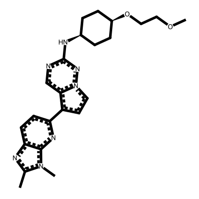 COCCO[C@H]1CC[C@@H](Nc2ncc3c(-c4ccc5nc(C)n(C)c5n4)ccn3n2)CC1